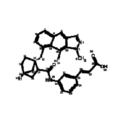 Cn1ncc2cc3cccc(C[C@]45CC[C@@H](CC4C(=O)Nc4cccc(/C=C/C(=O)O)c4)C5)c3c(F)c21